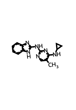 Cc1cnc(Nc2nc3ccccc3[nH]2)nc1NC1CC1